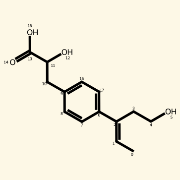 C/C=C(\CCO)c1ccc(CC(O)C(=O)O)cc1